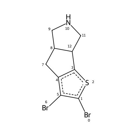 Brc1sc2c(c1Br)CC1CNCC21